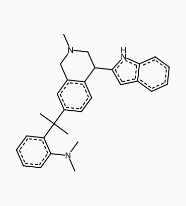 CN1Cc2cc(C(C)(C)c3ccccc3N(C)C)ccc2C(c2cc3ccccc3[nH]2)C1